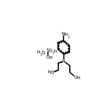 Nc1ccc(N(CCO)CCO)cc1.O.O=S(=O)(O)O